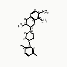 Cc1ccc(C)c(N2CCN(C3Cc4c(ccc([N+](=O)[O-])c4N)CC3O)CC2)c1